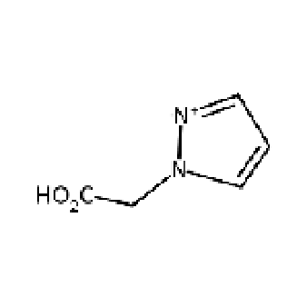 O=C(O)CN1C=CC=[N+]1